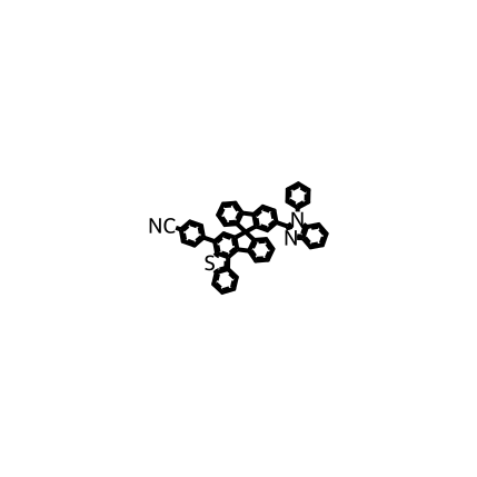 N#Cc1ccc(-c2cc3c(c4c2sc2ccccc24)-c2ccccc2C32c3ccccc3-c3ccc(-c4nc5ccccc5n4-c4ccccc4)cc32)cc1